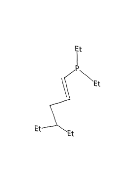 CCC(CC)CC=CP(CC)CC